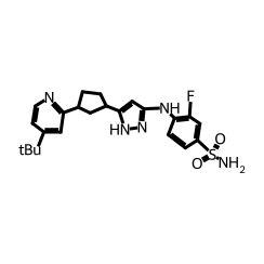 CC(C)(C)c1ccnc(C2CCC(c3cc(Nc4ccc(S(N)(=O)=O)cc4F)n[nH]3)C2)c1